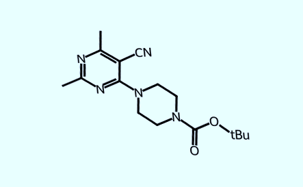 Cc1nc(C)c(C#N)c(N2CCN(C(=O)OC(C)(C)C)CC2)n1